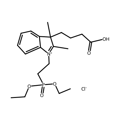 CCOP(=O)(CC[N+]1=C(C)C(C)(CCCC(=O)O)c2ccccc21)OCC.[Cl-]